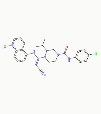 CC(C)C1CN(C(=O)Nc2ccc(Cl)cc2)CCN1/C(=N\C#N)Nc1cccc2c1ccc[n+]2[O-]